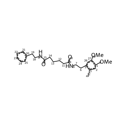 COc1cc(F)c(CCNC(=O)CCCCC(=O)NCCc2ccccc2)cc1OC